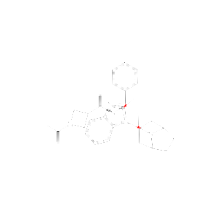 CCC(=O)N1CC(C(=O)N[C@@H](CCN2C3CCC2CC(n2c(C(F)(F)F)nc4ccccc42)C3)c2ccccc2)C1